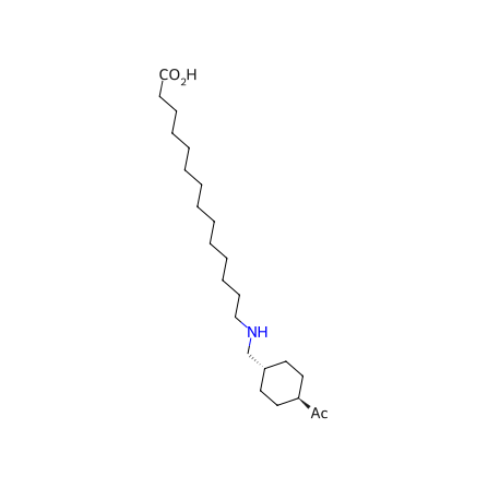 CC(=O)[C@H]1CC[C@H](CNCCCCCCCCCCCCCC(=O)O)CC1